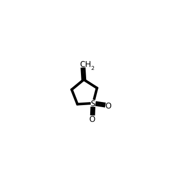 C=C1CCS(=O)(=O)C1